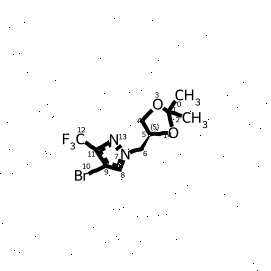 CC1(C)OC[C@H](Cn2cc(Br)c(C(F)(F)F)n2)O1